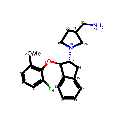 COc1cccc(F)c1O[C@@H]1c2ccccc2C[C@H]1N1CCC(CN)C1